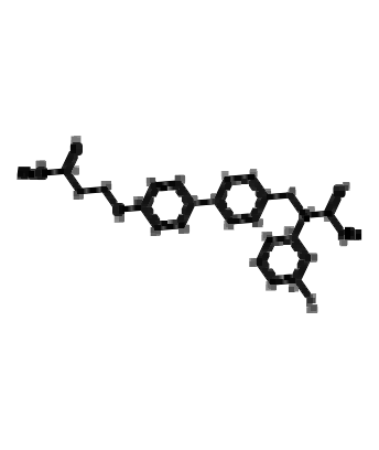 CCCCC(=O)N(Cc1ccc(-c2ccc(OCCC(=O)OC)cc2)cc1)c1cccc(F)c1